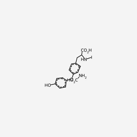 NC(=O)O.O=C(O)C(Cc1ccc(Oc2ccc(O)cc2)cc1)NI